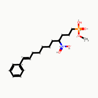 COP(=O)(O)CCCC(CCCCCC=Cc1ccccc1)[N+](=O)[O-]